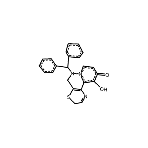 O=c1ccn2c(c1O)C1=C(CN2C(c2ccccc2)c2ccccc2)SCC=N1